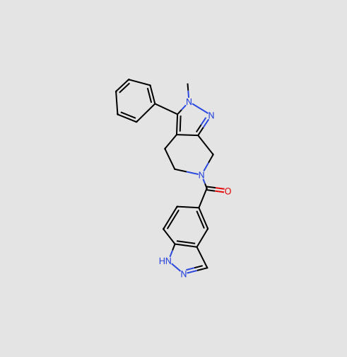 Cn1nc2c(c1-c1ccccc1)CCN(C(=O)c1ccc3[nH]ncc3c1)C2